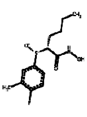 CCCC[C@H](C(=O)NO)[S@@+]([O-])c1ccc(F)c(C)c1